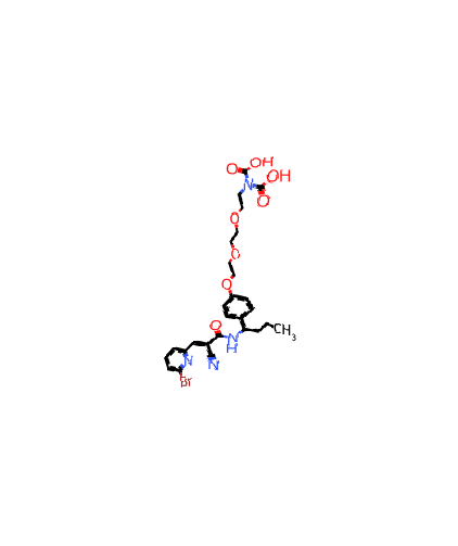 CCCC(NC(=O)/C(C#N)=C/c1cccc(Br)n1)c1ccc(OCCOCCOCCN(C(=O)O)C(=O)O)cc1